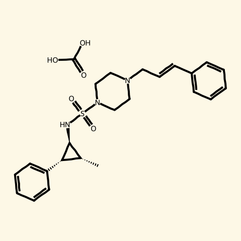 C[C@H]1[C@H](NS(=O)(=O)N2CCN(C/C=C/c3ccccc3)CC2)[C@H]1c1ccccc1.O=C(O)O